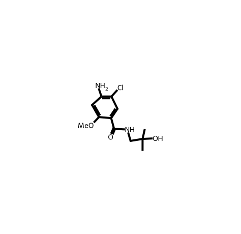 COc1cc(N)c(Cl)cc1C(=O)NCC(C)(C)O